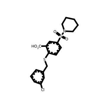 O=C(O)c1cc(S(=O)(=O)N2CCCCC2)ccc1SCc1cccc(Cl)c1